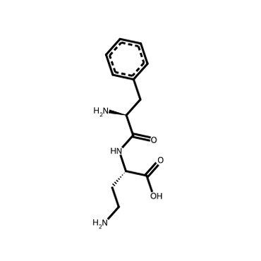 NCC[C@H](NC(=O)[C@@H](N)Cc1ccccc1)C(=O)O